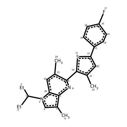 CCC(CC)n1cc(C)c2nc(-c3sc(-c4ccc(F)cc4)cc3C)c(C)cc21